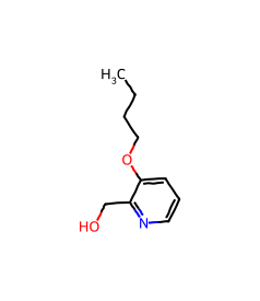 CCCCOc1cccnc1CO